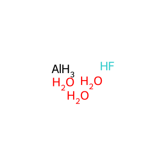 F.O.O.O.[AlH3]